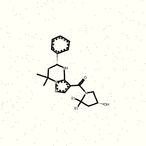 CCC1(CC)C[C@@H](O)CN1C(=O)c1cnn2c1N[C@@H](c1ccccc1)CC2(C)C